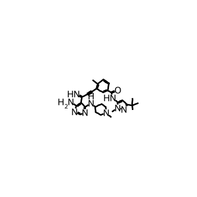 Cc1ccc(C(=O)Nc2cc(C(C)(C)C)nn2C)cc1C#CC(=N)c1c(N)ncnc1NC1CCN(C)CC1